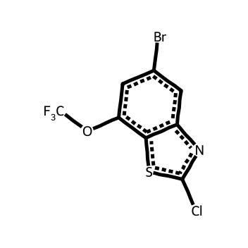 FC(F)(F)Oc1cc(Br)cc2nc(Cl)sc12